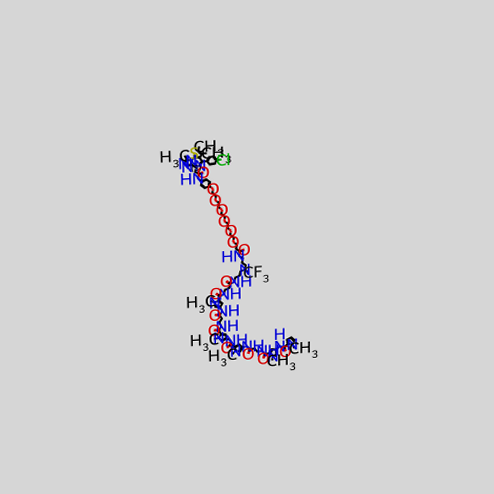 Cc1sc2c(c1C)C(c1ccc(Cl)cc1)=N[C@@H](CC(=O)Nc1ccc(OCCOCCOCCOCCOCCOCCC(=O)NCCCN(CCCNC(=O)CCNC(=O)c3cc(NC(=O)CCNC(=O)c4cc(NC(=O)c5cc(NC(=O)CCNC(=O)c6cc(NC(=O)c7cccn7C)cn6C)cn5C)cn4C)cn3C)C(F)(F)F)cc1)c1nnc(C)n1-2